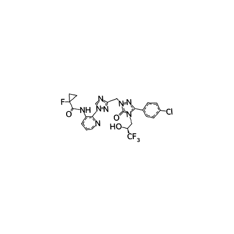 O=C(Nc1cccnc1-n1cnc(Cn2nc(-c3ccc(Cl)cc3)n(C[C@H](O)C(F)(F)F)c2=O)n1)C1(F)CC1